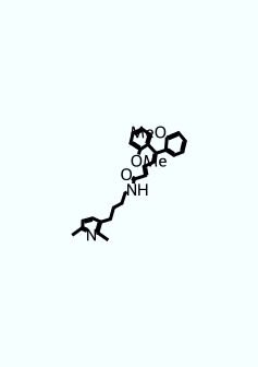 COc1ccccc1C(=C/C=C/C(=O)NCCCCc1ccc(C)nc1C)c1ccccc1OC